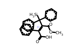 COC(=O)/C(=C(\C(=O)O)c1ccccc1)C([SiH3])(c1ccccc1)c1ccccc1